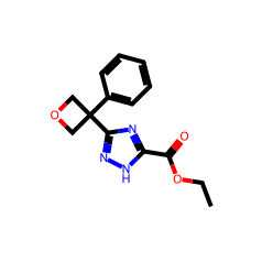 CCOC(=O)c1nc(C2(c3ccccc3)COC2)n[nH]1